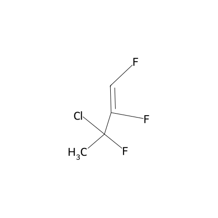 CC(F)(Cl)C(F)=CF